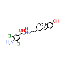 Nc1c(Cl)cc(C(O)CNCCCC(CCCc2ccc(O)cc2)CC(=O)O)cc1Cl